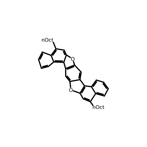 CCCCCCCCc1cc2oc3cc4c(cc3c2c2ccccc12)oc1cc(CCCCCCCC)c2ccccc2c14